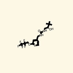 CC(C)(C)[C@@H](O)CNC(=O)NCc1ccnc(OCC(F)(F)C(F)(F)F)c1